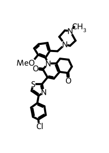 COc1cccc(CN2CCN(C)CC2)c1-n1c2c(cc(-c3nc(-c4ccc(Cl)cc4)cs3)c1=O)C(=O)CCC2